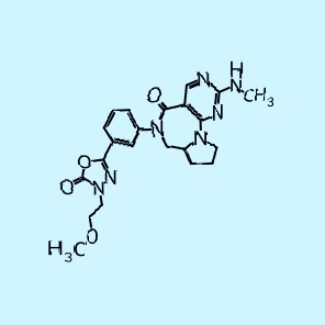 CNc1ncc2c(n1)N1CCCC1CN(c1cccc(-c3nn(CCOC)c(=O)o3)c1)C2=O